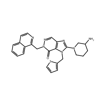 NC1CCCN(c2nc3cnn(Cc4nccc5ccccc45)c(=O)c3n2Cc2cccs2)C1